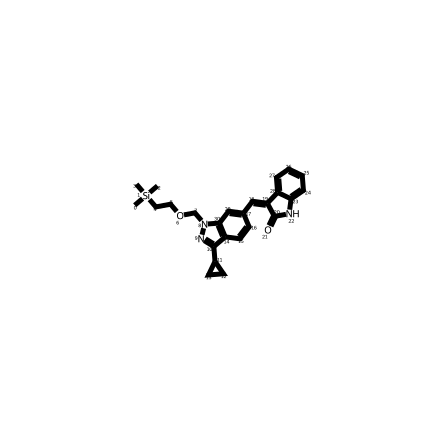 C[Si](C)(C)CCOCn1nc(C2CC2)c2ccc(C=C3C(=O)Nc4ccccc43)cc21